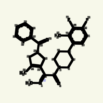 C/N=C(/C(=O)N1CCC(c2ccc(F)c(F)c2C(F)(F)F)CC1)C1=C(C)CN(C(=O)c2ccccn2)C1